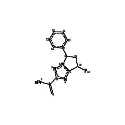 C=C(CCC)c1nc2n(n1)C(c1ccccc1)CC2F